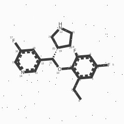 CCc1cc(F)cc(F)c1OC(c1cncc(F)c1)[C@H]1CCNC1